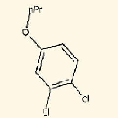 [CH2]CCOc1ccc(Cl)c(Cl)c1